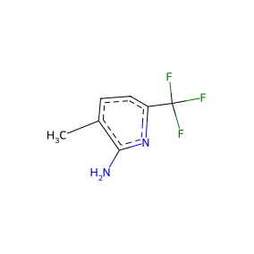 Cc1ccc(C(F)(F)F)nc1N